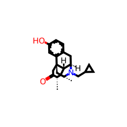 C[C@H]1[C@H]2[C@H]3Cc4ccc(O)cc4[C@@]2(CCN3CC2CC2)CC(=O)[C@H]1C